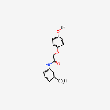 CCOc1ccc(OCC(=O)Nc2cccc(C(=O)O)c2)cc1